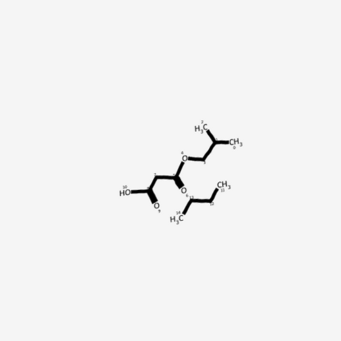 CC(C)COC(=O)CC(=O)O.CCCC